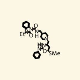 CCn1c(=O)n(C(=O)NCC2CCN(CC(CCSC)NC(=O)Nc3ccccc3)CC2)c2ccccc21